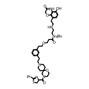 CC[C@@H](C)N(CCNCCc1ccc(O)c2c1OCC(=O)N2)C(=O)CCOCCc1cccc(CCN2CCC3(CC2)CN(C(=O)C2CSC(C(C)C)=N2)CCO3)c1